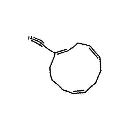 N#C/C1=C\C/C=C\CC/C=C\CCC1